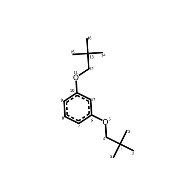 CC(C)(C)COc1cccc(OCC(C)(C)C)c1